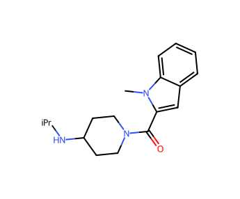 CC(C)NC1CCN(C(=O)c2cc3ccccc3n2C)CC1